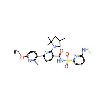 Cc1nc(OC(C)C)ccc1-c1ccc(C(=O)NS(=O)(=O)c2cccc(N)n2)c(N2CC(C)CC2(C)C)n1